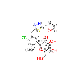 COc1cc(Cl)c(Cc2nnc(-c3ccco3)s2)cc1[C@@H]1O[C@H](CO)[C@@H](O)[C@H](O)[C@H]1O